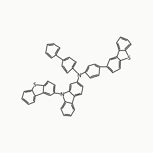 c1ccc(-c2ccc(N(c3ccc(-c4ccc5sc6ccccc6c5c4)cc3)c3ccc4c5ccccc5n(-c5ccc6sc7ccccc7c6c5)c4c3)cc2)cc1